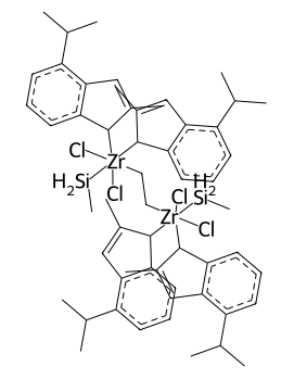 C[SiH2][Zr]([Cl])([Cl])([CH2][CH2][Zr]([Cl])([Cl])([SiH2]C)([CH]1C(C)=Cc2c(C(C)C)cccc21)[CH]1C(C)=Cc2c(C(C)C)cccc21)([CH]1C(C)=Cc2c(C(C)C)cccc21)[CH]1C(C)=Cc2c(C(C)C)cccc21